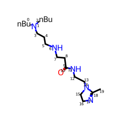 CCCCN(CCCC)CCCNCCC(=O)NCCN1CCN=C1C